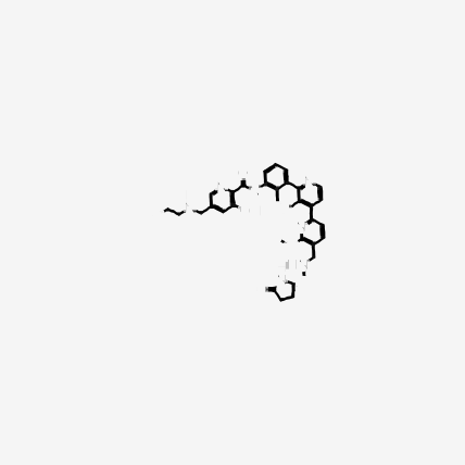 COc1nc(-c2ccnc(-c3cccc(NC(=O)c4ncc(CNCCO)cc4O)c3C)c2Cl)ccc1CNC[C@@H]1CCC(=O)N1